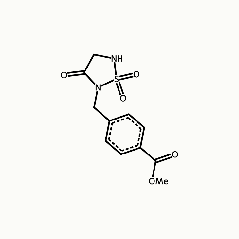 COC(=O)c1ccc(CN2C(=O)CNS2(=O)=O)cc1